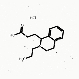 CCCN1CCc2ccccc2C1CCC(=O)O.Cl